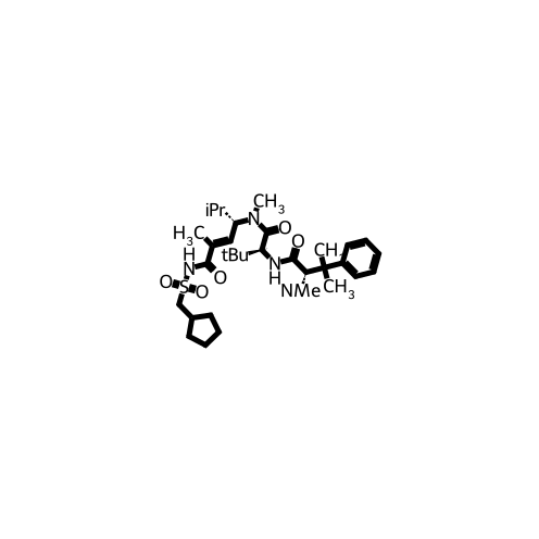 CN[C@H](C(=O)N[C@H](C(=O)N(C)[C@H](/C=C(\C)C(=O)NS(=O)(=O)CC1CCCC1)C(C)C)C(C)(C)C)C(C)(C)c1ccccc1